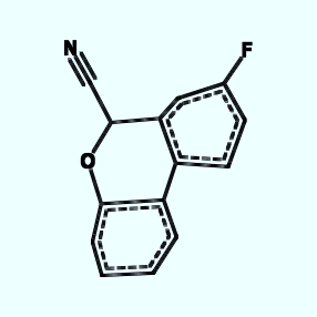 N#CC1Oc2ccccc2-c2ccc(F)cc21